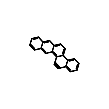 c1c2ccccc2c2ccc3cc4ccccc4cc3c2c#1